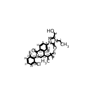 CCn1c(CO)nn(-c2ccc3c(c2)C(C(C)C(F)(F)F)CN(c2c(F)cccc2Cl)C3=O)c1=O